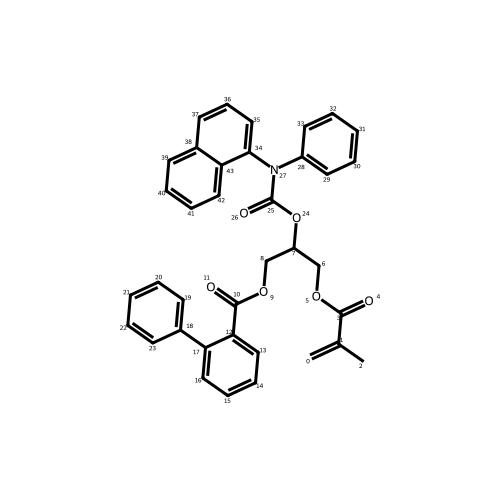 C=C(C)C(=O)OCC(COC(=O)c1ccccc1-c1ccccc1)OC(=O)N(c1ccccc1)c1cccc2ccccc12